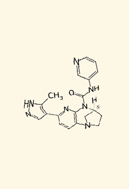 Cc1[nH]ncc1-c1ccc2c(n1)N(C(=O)Nc1cccnc1)[C@H]1CCN2C1